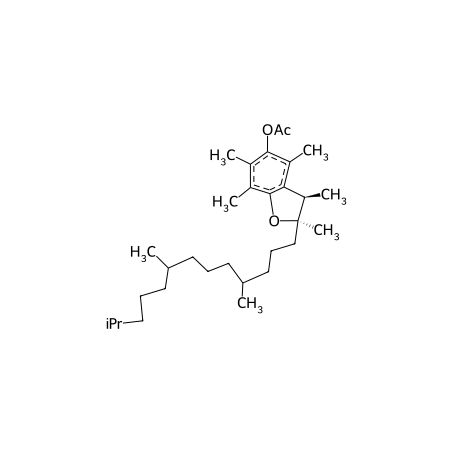 CC(=O)Oc1c(C)c(C)c2c(c1C)[C@@H](C)[C@@](C)(CCCC(C)CCCC(C)CCCC(C)C)O2